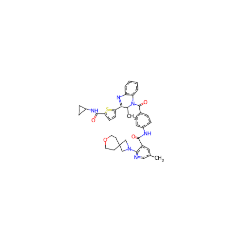 Cc1cnc(N2CC3(CCOCC3)C2)c(C(=O)Nc2ccc(C(=O)N3c4ccccc4N=C(c4ccc(C(=O)NC5CC5)s4)C3C)cc2)c1